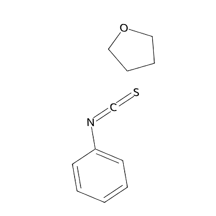 C1CCOC1.S=C=Nc1ccccc1